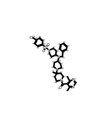 Cc1ncnc(C)c1C(=O)N1CCC(C)(N2CCC(N(Cc3ccccc3)C3CCN(S(=O)(=O)c4ccc(Cl)cc4)CC3)CC2)CC1